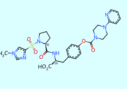 Cn1cnc(S(=O)(=O)N2CCC[C@H]2C(=O)N[C@@H](Cc2ccc(OC(=O)N3CCN(c4ccccn4)CC3)cc2)C(=O)O)c1